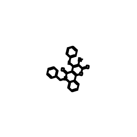 O=c1oc2c(c(Sc3ccccc3)c1Br)c(=O)n(Cc1ccccc1)c1ccccc21